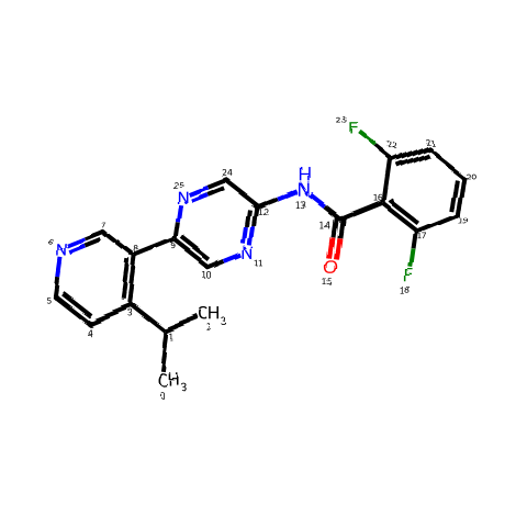 CC(C)c1ccncc1-c1cnc(NC(=O)c2c(F)cccc2F)cn1